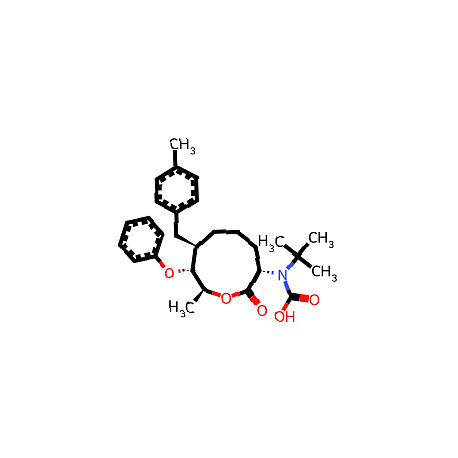 Cc1ccc(C[C@H]2CCC[C@H](N(C(=O)O)C(C)(C)C)C(=O)O[C@@H](C)[C@@H]2Oc2ccccc2)cc1